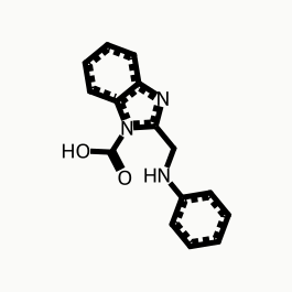 O=C(O)n1c(CNc2ccccc2)nc2ccccc21